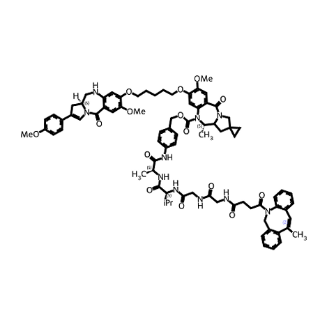 COc1ccc(C2=CN3C(=O)c4cc(OC)c(OCCCCCOc5cc6c(cc5OC)C(=O)N5CC7(CC7)CC5[C@H](C)N6C(=O)OCc5ccc(NC(=O)[C@H](C)NC(=O)[C@@H](NC(=O)CNC(=O)CNC(=O)CCC(=O)N6Cc7ccccc7/C(C)=C\c7ccccc76)C(C)C)cc5)cc4NC[C@@H]3C2)cc1